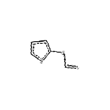 S=CSc1cccs1